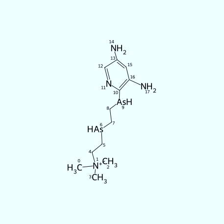 C[N+](C)(C)CC[AsH]CC[AsH]c1ncc(N)cc1N